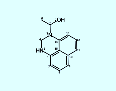 CC(O)N1CNc2cccc3cccc1c23